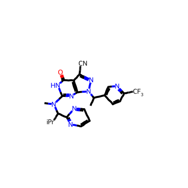 CC(C)C(c1ncccn1)N(C)c1nc2c(c(C#N)nn2C(C)c2ccc(C(F)(F)F)nc2)c(=O)[nH]1